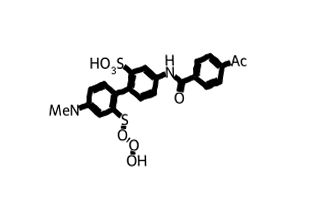 CNc1ccc(-c2ccc(NC(=O)c3ccc(C(C)=O)cc3)cc2S(=O)(=O)O)c(SOOO)c1